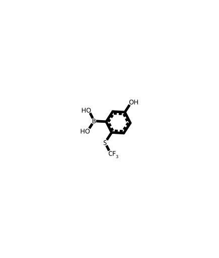 OB(O)c1cc(O)ccc1SC(F)(F)F